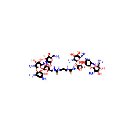 NCC1O[C@H](OC2C(N)C[C@@H](N)C(O)[C@H]2O[C@@H]2O[C@H](CNC(=S)NCCCNC(=S)NC[C@H]3O[C@@H](OC4C(O[C@@H]5OC(CN)C(O)[C@H](O)C5N)C(N)C[C@H](N)[C@@H]4O)C(O)C3O[C@@H]3O[C@H](CN)C(O)C(O)C3N)C(O[C@H]3O[C@@H](CN)C(O)C(O)C3N)[C@@H]2O)C(N)[C@@H](O)C1O